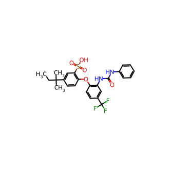 CCC(C)(C)c1ccc(Oc2ccc(C(F)(F)F)cc2NC(=O)Nc2ccccc2)c(S(=O)(=O)O)c1